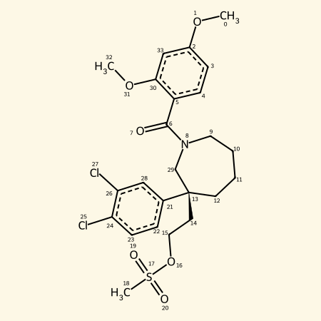 COc1ccc(C(=O)N2CCCC[C@](CCOS(C)(=O)=O)(c3ccc(Cl)c(Cl)c3)C2)c(OC)c1